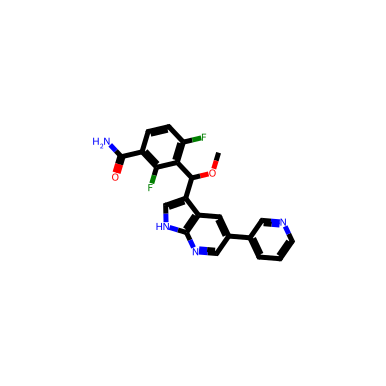 COC(c1c(F)ccc(C(N)=O)c1F)c1c[nH]c2ncc(-c3cccnc3)cc12